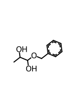 CC(O)C(O)OCc1ccccc1